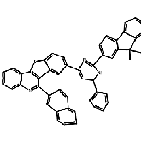 CC1(C)c2ccccc2-c2ccc(C3=NC(c4ccc5sc6c7ccccc7nc(-c7ccc8ccccc8c7)c6c5c4)=CC(c4ccccc4)N3)cc21